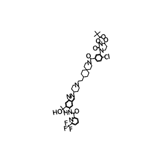 CC(C)(C)C(=O)ON1C(=O)CCN(c2cc(C(=O)N3CCC4(CCC(CCN5CCC(n6cc7cc(NC(=O)c8cccc(C(F)(F)F)n8)c(C(C)(C)O)cc7n6)CC5)CC4)CC3)ccc2Cl)C1=O